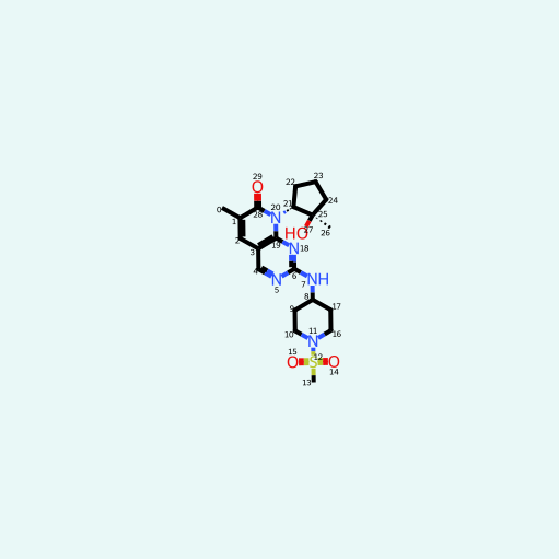 Cc1cc2cnc(NC3CCN(S(C)(=O)=O)CC3)nc2n([C@@H]2CCC[C@@]2(C)O)c1=O